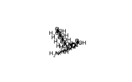 CC(=O)O.CC(=O)O.CC(=O)O.CC(=O)O.CC(=O)O.NCCNCCN(N)Cc1ccccc1